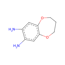 Nc1cc2c(cc1N)OCCCO2